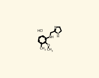 COc1c(C)cccc1NCC1=NCCN1.Cl